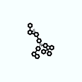 c1ccc(-c2cccc3c2sc2ccc(-c4ccc(N(c5ccc(-c6cccc7ccccc67)cc5)c5ccc6c(c5)C(c5ccccc5)(c5ccccc5)c5ccccc5-6)cc4)cc23)cc1